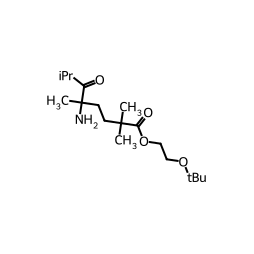 CC(C)C(=O)C(C)(N)CCC(C)(C)C(=O)OCCOC(C)(C)C